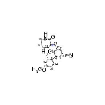 COc1ccc(-c2cc(C#N)cc(/C=C3\CCCCNC3=O)c2C)cc1